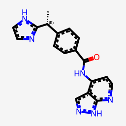 C[C@H](c1ccc(C(=O)Nc2ccnc3[nH]ncc23)cc1)c1ncc[nH]1